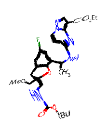 CCOC(=O)c1cnn2ccc(NC(C)c3cc(F)cc4c3OC(CNC(=O)OC(C)(C)C)(COC)C4)nc12